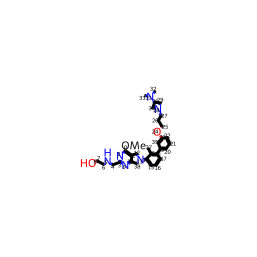 COc1nc(CNCCO)nc2c1CN(c1cccc(-c3cccc(OCCCN4CC(N(C)C)C4)c3)c1C)C2